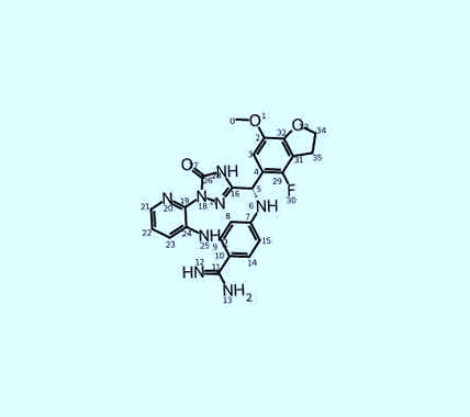 COc1cc([C@H](Nc2ccc(C(=N)N)cc2)c2nn(-c3ncccc3N)c(=O)[nH]2)c(F)c2c1OCC2